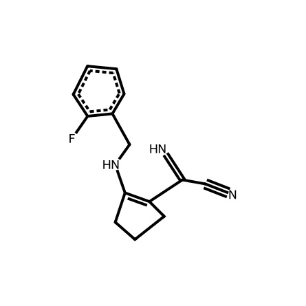 N#CC(=N)C1=C(NCc2ccccc2F)CCC1